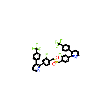 O=S(=O)(Cc1ccc(-c2ncccc2-c2ccc(C(F)(F)F)cc2)cc1F)Cc1ccc(-c2ncccc2-c2ccc(C(F)(F)F)cc2)cc1F